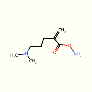 C=C(CCCN(C)C)C(=O)ON